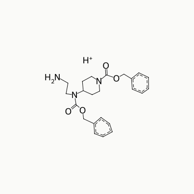 NCCN(C(=O)OCc1ccccc1)C1CCN(C(=O)OCc2ccccc2)CC1.[H+]